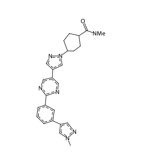 CNC(=O)C1CCC(n2cc(-c3cnc(-c4cccc(-c5cnn(C)c5)c4)nc3)cn2)CC1